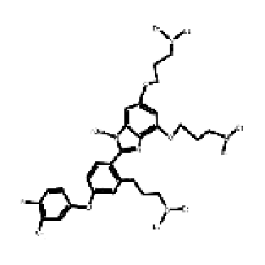 CCCCn1c(-c2ccc(Oc3ccc(F)c(C(F)(F)F)c3)cc2CCCN(CC)CC)nc2c(OCCCN(CC)CC)cc(OCCCN(CC)CC)cc21